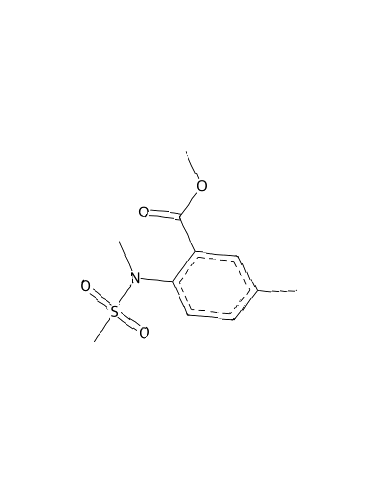 COC(=O)c1cc(C)ccc1N(C)S(C)(=O)=O